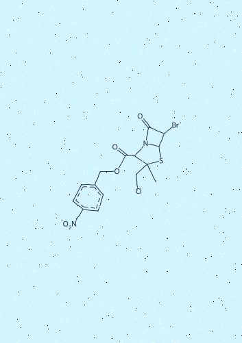 CC1(CCl)SC2C(Br)C(=O)N2C1C(=O)OCc1ccc([N+](=O)[O-])cc1